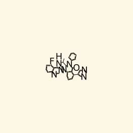 CC(Nc1ncnc2cccc(F)c12)c1nc2cccc(-c3cncnc3)c2c(=O)n1-c1ccccc1